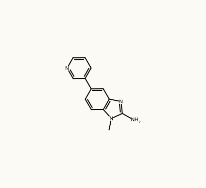 Cn1c(N)nc2cc(-c3cccnc3)ccc21